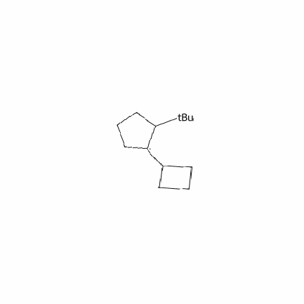 CC(C)(C)C1CCC[C]1C1CCC1